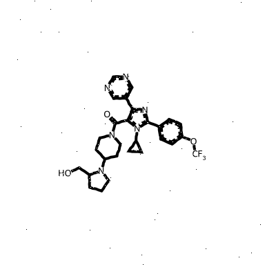 O=C(c1c(-c2cncnc2)nc(-c2ccc(OC(F)(F)F)cc2)n1C1CC1)N1CCC(N2CCCC2CO)CC1